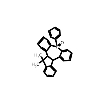 CC1(C)c2ccccc2C2c3ccccc3P(=O)(c3ccccc3)c3ccccc3C21